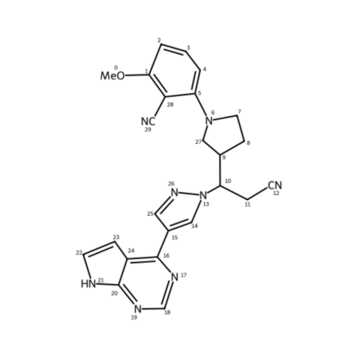 COc1cccc(N2CCC(C(CC#N)n3cc(-c4ncnc5[nH]ccc45)cn3)C2)c1C#N